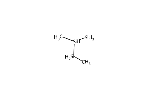 C[SiH2][SiH](C)[SiH3]